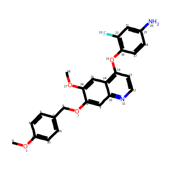 COc1ccc(COc2cc3nccc(Oc4ccc(N)cc4F)c3cc2OC)cc1